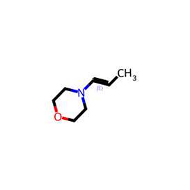 C/C=[C]/N1CCOCC1